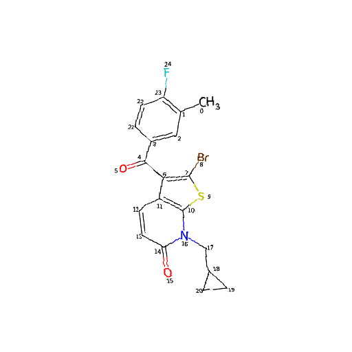 Cc1cc(C(=O)c2c(Br)sc3c2ccc(=O)n3CC2CC2)ccc1F